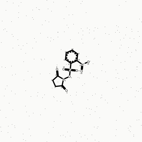 O=C1CCC(=O)N1OS(=O)(=O)c1ccccc1[N+](=O)[O-]